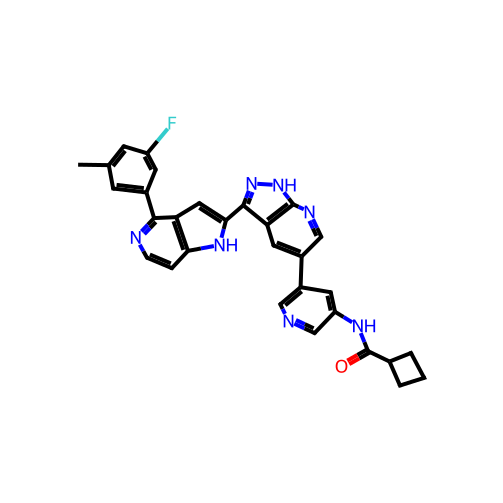 Cc1cc(F)cc(-c2nccc3[nH]c(-c4n[nH]c5ncc(-c6cncc(NC(=O)C7CCC7)c6)cc45)cc23)c1